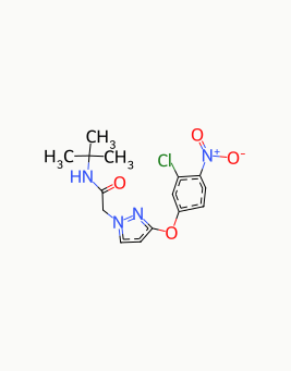 CC(C)(C)NC(=O)Cn1ccc(Oc2ccc([N+](=O)[O-])c(Cl)c2)n1